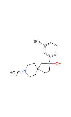 CC(C)(C)c1cccc(C2(O)CCC3(CCN(C(=O)O)CC3)C2)c1